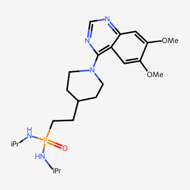 COc1cc2ncnc(N3CCC(CCP(=O)(NC(C)C)NC(C)C)CC3)c2cc1OC